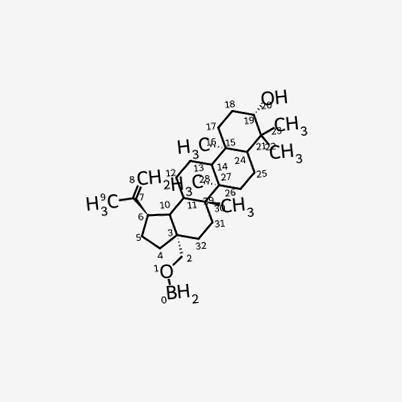 BOC[C@]12CC[C@@H](C(=C)C)C1C1CCC3[C@@]4(C)CC[C@H](O)C(C)(C)C4CC[C@@]3(C)[C@]1(C)CC2